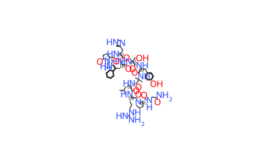 CC(C)C[C@H](NC(=O)C(C)(C)NC(=O)[C@H](Cc1ccc(O)cc1)NC(=O)[C@H](CO)NC(=O)[C@H](Cc1c[nH]c2ccccc12)NC(=O)[C@H](Cc1c[nH]cn1)NC(=O)C1CCC(=O)N1)C(=O)N[C@@H](CCCNC(=N)N)C(=O)N1CCC[C@H]1C(=O)NCC(N)=O